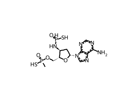 CP(=O)(S)OC[C@H]1O[C@@H](n2cnc3c(N)ncnc32)C[C@@H]1N[PH](=O)S